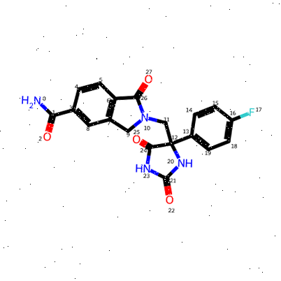 NC(=O)c1ccc2c(c1)CN(CC1(c3ccc(F)cc3)NC(=O)NC1=O)C2=O